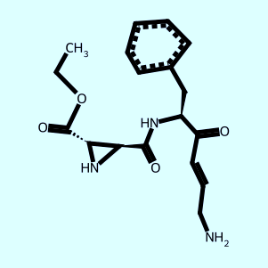 CCOC(=O)[C@H]1N[C@@H]1C(=O)N[C@@H](Cc1ccccc1)C(=O)C=CCN